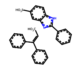 O=C(O)C=C(c1ccccc1)c1ccccc1.O=S(=O)(O)c1ccc2[nH]c(-c3ccccc3)nc2c1